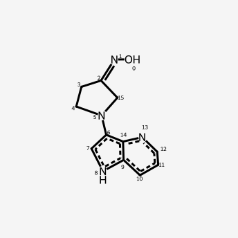 ON=C1CCN(c2c[nH]c3cccnc23)C1